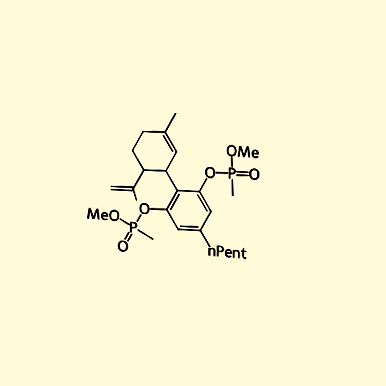 C=C(C)C1CCC(C)=CC1c1c(OP(C)(=O)OC)cc(CCCCC)cc1OP(C)(=O)OC